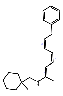 C\C(=C/C=C\C=C/Cc1ccccc1)NCC1(C)CCCCC1